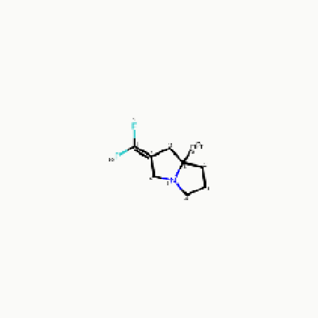 CCCC12CCCN1CC(=C(F)F)C2